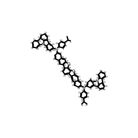 CC(C)c1ccc(N(c2ccc3cc4c(cc3c2)oc2c4ccc3c4cc5ccc(N(c6ccc(C(C)C)cc6)c6ccc7c(c6)c6cccc8c9ccccc9n7c86)cc5cc4oc32)c2ccc3c(c2)c2cccc4c5ccccc5n3c42)cc1